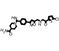 N=C(c1ccc(-c2cc(CNCC(=O)c3ccc(Cl)s3)on2)cc1)N1CCC(C(N)=O)CC1